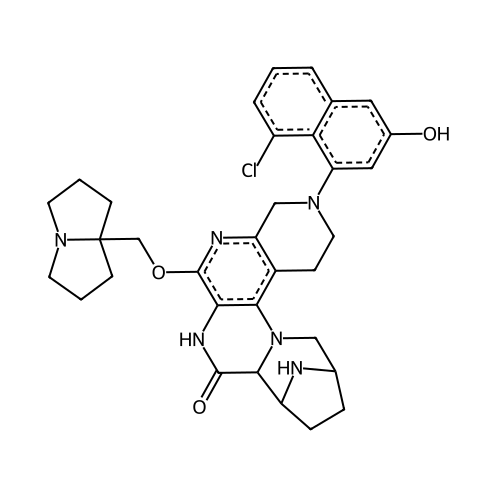 O=C1Nc2c(OCC34CCCN3CCC4)nc3c(c2N2CC4CCC(N4)C12)CCN(c1cc(O)cc2cccc(Cl)c12)C3